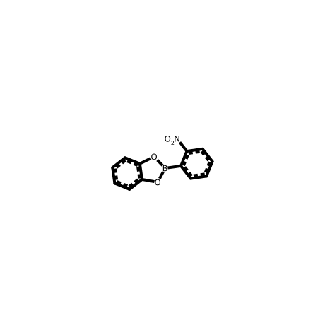 O=[N+]([O-])c1ccccc1B1Oc2ccccc2O1